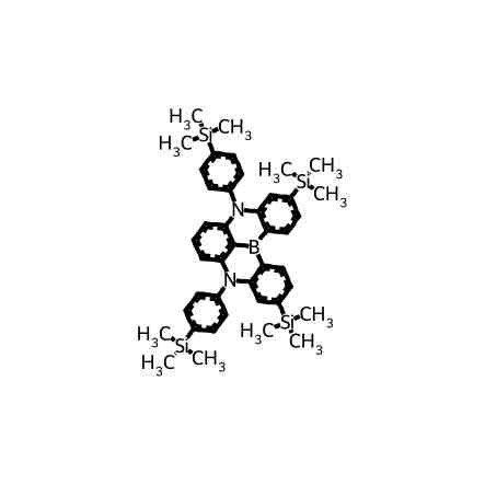 C[Si](C)(C)c1ccc(N2c3cc([Si](C)(C)C)ccc3B3c4ccc([Si](C)(C)C)cc4N(c4ccc([Si](C)(C)C)cc4)c4cccc2c43)cc1